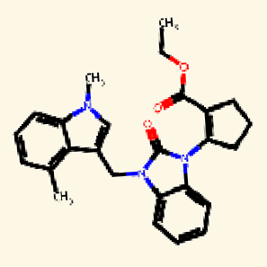 CCOC(=O)C1=C(n2c(=O)n(Cc3cn(C)c4cccc(C)c34)c3ccccc32)CCC1